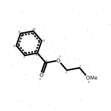 COCCOC(=O)c1cc[c]cc1